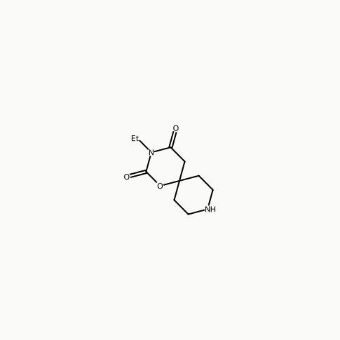 CCN1C(=O)CC2(CCNCC2)OC1=O